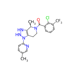 Cc1ccc(N2NNC3=C2CCN(C(=O)c2cccc(C(F)(F)F)c2Cl)[C@@H]3C)nc1